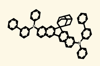 c1ccc(-c2cccc(N(c3ccccc3)c3ccc4cc5c(cc4c3)C3(c4cc6cc(N(c7ccccc7)c7cccc(-c8ccccc8)c7)ccc6cc4-5)C4CC5CC(C4)CC3C5)c2)cc1